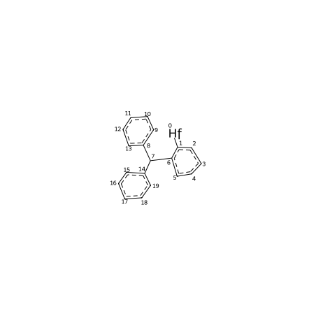 [Hf][c]1ccccc1C(c1ccccc1)c1ccccc1